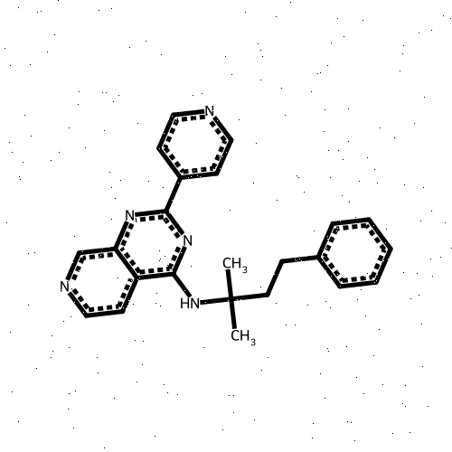 CC(C)(CCc1ccccc1)Nc1nc(-c2ccncc2)nc2cnccc12